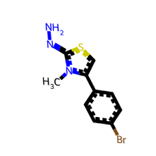 Cn1c(-c2ccc(Br)cc2)csc1=NN